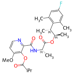 COc1ccnc(C(=O)N[C@@H](C)C(=O)O[C@H](C)[C@H](C)c2c(C)cc(F)cc2C)c1OC(=O)C(C)C